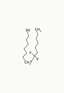 CCCCCCC(F)(F)F.CCCCCCCS